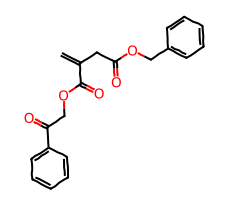 C=C(CC(=O)OCc1ccccc1)C(=O)OCC(=O)c1ccccc1